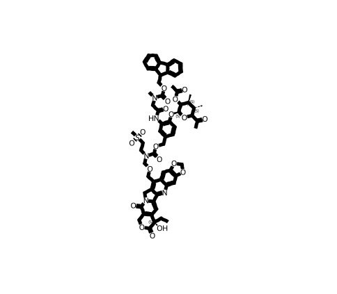 CC[C@@]1(O)C(=O)OCc2c1cc1n(c2=O)Cc2c-1nc1cc3c(cc1c2COCN(CCS(C)(=O)=O)C(=O)OCc1ccc(O[C@@H]2OC(C(C)=O)[C@@H](C)[C@H](C)C2OC(C)=O)c(NC(=O)CN(C)C(=O)OCC2c4ccccc4-c4ccccc42)c1)OCO3